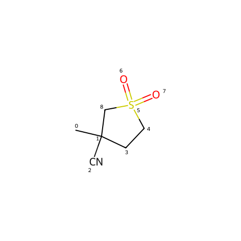 CC1(C#N)CCS(=O)(=O)C1